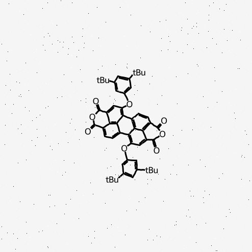 CC(C)(C)c1cc(Oc2cc3c4c(ccc5c6c(Oc7cc(C(C)(C)C)cc(C(C)(C)C)c7)cc7c8c(ccc(c2c45)c86)C(=O)OC7=O)C(=O)OC3=O)cc(C(C)(C)C)c1